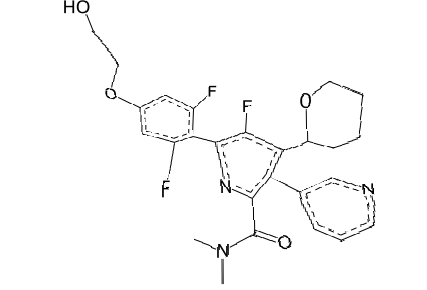 CN(C)C(=O)c1nc(-c2c(F)cc(OCCO)cc2F)c(F)c(C2CCCCO2)c1-c1cccnc1